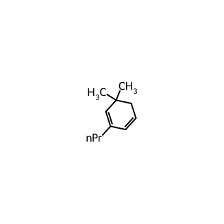 CCCC1=CC(C)(C)CC=C1